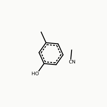 CC#N.Cc1cccc(O)c1